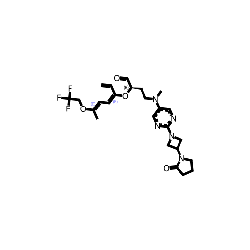 C=C/C(=C\C=C(/C)OCC(F)(F)F)O[C@@H](C=O)CCN(C)c1cnc(N2CC(N3CCCC3=O)C2)nc1